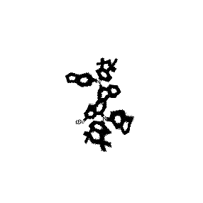 CC(C)(C)c1ccc2c(c1)c(N(c1ccc3c(c1)CCC3)c1ccc3c(c1)C(C)(C)CC3(C)C)cc1c3ccccc3c(N(c3ccc4c(c3)CCC4)c3ccc4c(c3)C(C)(C)CC4(C)C)cc21